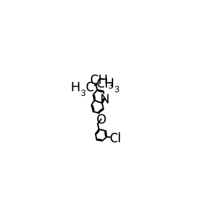 CC(C)(C)c1cnc2cc(OCc3cccc(Cl)c3)ccc2c1